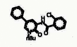 CCCCn1cc(-c2ccccc2)cc(NC(=O)c2ccccc2Cl)c1=O